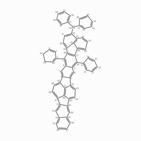 C1=CC(c2c3cc4c(cc3c(-c3ccccc3)c3c5cccc6c(N(c7ccccc7)c7ccccc7)ccc(c23)c65)c2ccc3c5c(ccc4c52)-c2cc4ccccc4cc2-3)=CCC1